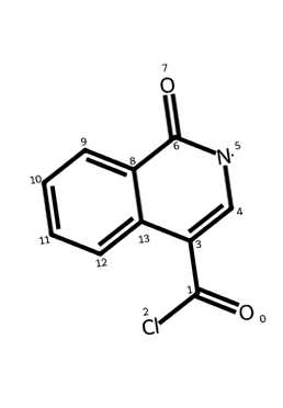 O=C(Cl)C1=C[N]C(=O)c2ccccc21